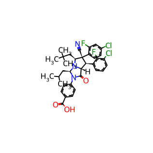 CC(C)C[C@@H]1N(c2ccc(C(=O)O)cc2)C(=O)[C@H]2[C@H](c3cccc(Cl)c3F)[C@@](C#N)(c3ccc(Cl)cc3F)[C@H](CC(C)(C)C)N12